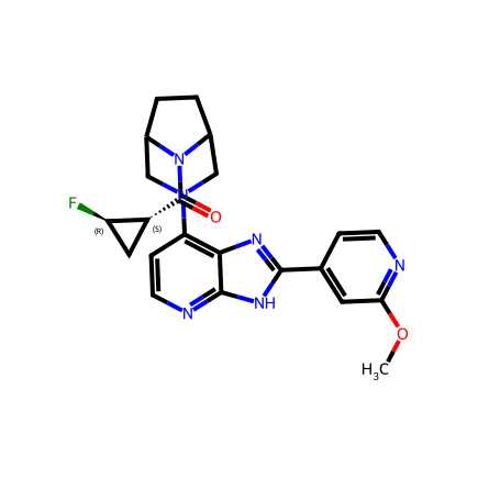 COc1cc(-c2nc3c(N4CC5CCC(C4)N5C(=O)[C@@H]4C[C@H]4F)ccnc3[nH]2)ccn1